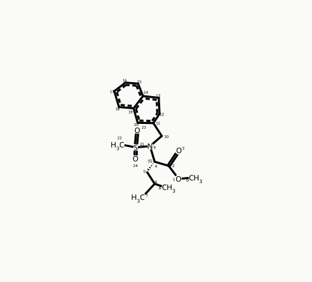 COC(=O)[C@H](CC(C)C)N(Cc1ccc2ccccc2c1)S(C)(=O)=O